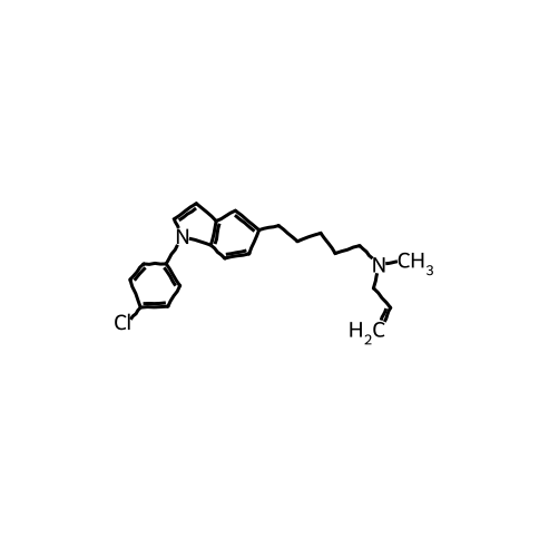 C=CCN(C)CCCCCc1ccc2c(ccn2-c2ccc(Cl)cc2)c1